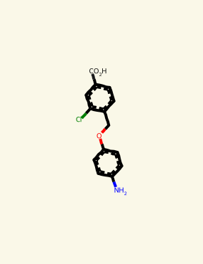 Nc1ccc(OCc2ccc(C(=O)O)cc2Cl)cc1